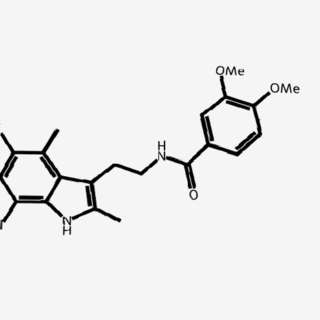 COc1ccc(C(=O)NCCc2c(C)[nH]c3c(Cl)cc(F)c(C)c23)cc1OC